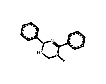 CN1CNC(c2ccccc2)N=C1c1ccccc1